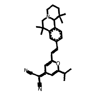 CC(C)C1=CC(=C(C#N)C#N)C=C(C=Cc2ccc3c(c2)C(C)(C)CN2CCCC(C)(C)C32)O1